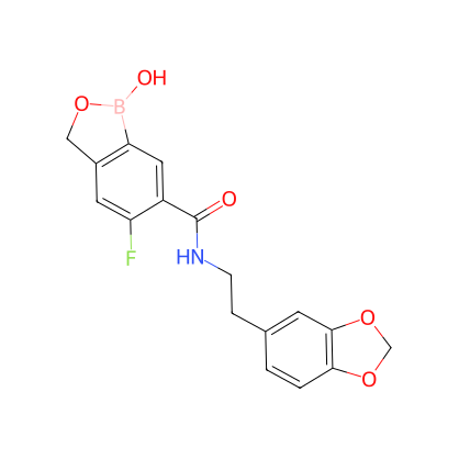 O=C(NCCc1ccc2c(c1)OCO2)c1cc2c(cc1F)COB2O